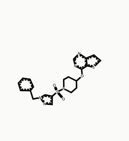 O=S(=O)(c1cnn(Cc2ccccc2)c1)N1CCC(Oc2ncnc3ccsc23)CC1